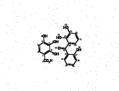 O=C(O)c1ccc(O)c(O)c1O.O=C(c1ccccc1O)c1cccc(O)c1O